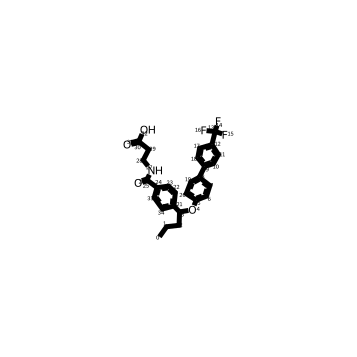 CCCC(Oc1ccc(-c2ccc(C(F)(F)F)cc2)cc1)c1ccc(C(=O)NCCC(=O)O)cc1